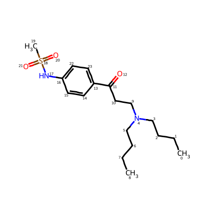 CCCCN(CCCC)CCC(=O)c1ccc(NS(C)(=O)=O)cc1